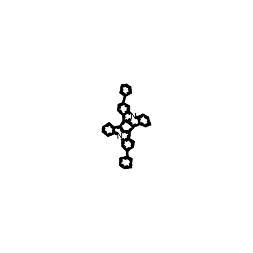 c1ccc(-c2ccc3c4c5c6ccccc6n6c7cc(-c8ccccc8)ccc7c(c7c8ccccc8n(c3c2)c74)c56)cc1